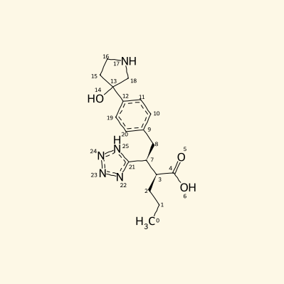 CCC[C@H](C(=O)O)[C@H](Cc1ccc(C2(O)CCNC2)cc1)c1nnn[nH]1